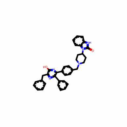 O=c1[nH]c2ccccc2n1C1CCN(Cc2ccc(-c3nc(O)c(Cc4ccccc4)nc3-c3ccccc3)cc2)CC1